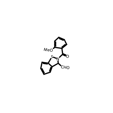 COc1ccccc1C(=O)N1Sc2ccccc2C1C=O